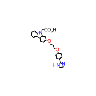 O=C(O)Cn1c2ccccc2c2ccc(OCCCOc3ccc(-c4ncc[nH]4)cc3)cc21